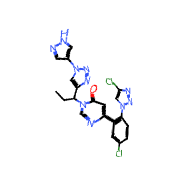 CCC(c1cn(-c2cn[nH]c2)nn1)n1cnc(-c2cc(Cl)ccc2-n2cc(Cl)nn2)cc1=O